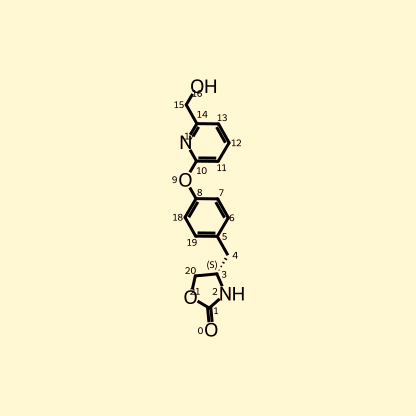 O=C1N[C@@H](Cc2ccc(Oc3cccc(CO)n3)cc2)CO1